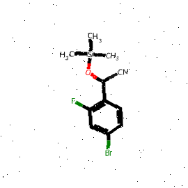 C[Si](C)(C)OC(C#N)c1ccc(Br)cc1F